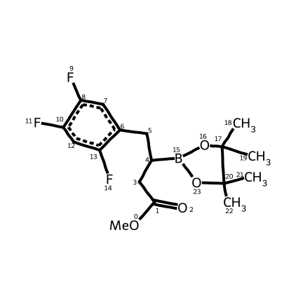 COC(=O)CC(Cc1cc(F)c(F)cc1F)B1OC(C)(C)C(C)(C)O1